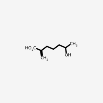 C=C(CCCC(C)O)C(=O)O